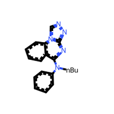 CCCCN(c1ccccc1)c1nc2nncn2c2ccccc12